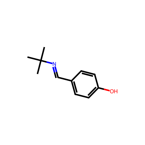 CC(C)(C)/N=C/c1ccc(O)cc1